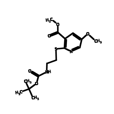 COC(=O)c1cc(OC)cnc1SCCNC(=O)OC(C)(C)C